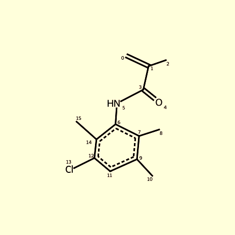 C=C(C)C(=O)Nc1c(C)c(C)cc(Cl)c1C